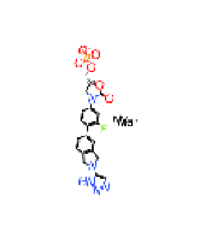 O=C1O[C@@H](COP(=O)([O-])[O-])CN1c1ccc(-c2ccc3c(c2)CN(c2cnn[nH]2)C3)c(F)c1.[Na+].[Na+]